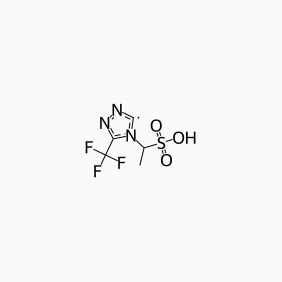 CC(n1[c]nnc1C(F)(F)F)S(=O)(=O)O